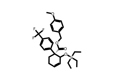 CC[Si](CC)(CC)OC1C=CCC[C@@]1(C(=O)OCc1ccc(OC)cc1)c1ccc(C(F)(F)F)cc1